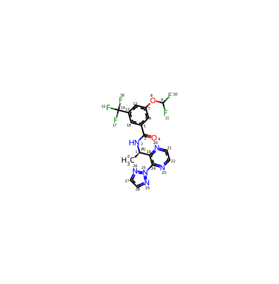 C[C@@H](NC(=O)c1cc(OC(F)F)cc(C(F)(F)F)c1)c1nccnc1-n1nccn1